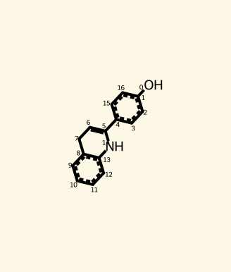 Oc1ccc(C2=CCc3ccccc3N2)cc1